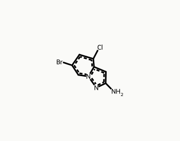 Nc1cc2c(Cl)cc(Br)cn2n1